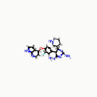 Nc1nc(N)c(-c2ccc(Oc3ccnc4[nH]ccc34)c(F)c2)c(C2CCCNC2)n1